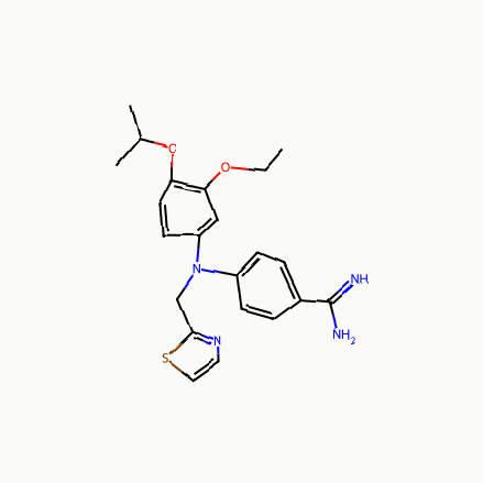 CCOc1cc(N(Cc2nccs2)c2ccc(C(=N)N)cc2)ccc1OC(C)C